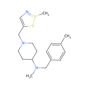 Cc1ccc(CN(C)C2CCN(CC3=CN=S(C)S3)CC2)cc1